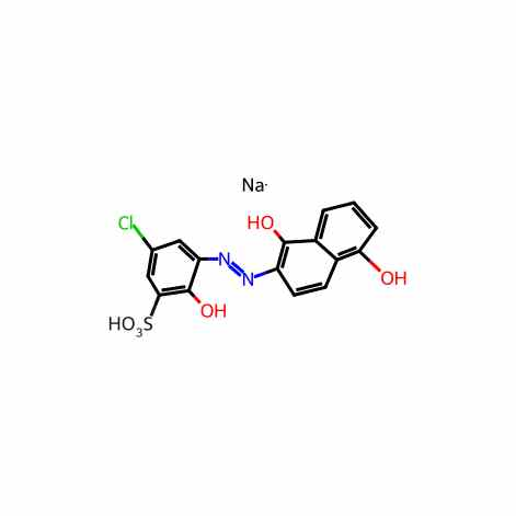 O=S(=O)(O)c1cc(Cl)cc(N=Nc2ccc3c(O)cccc3c2O)c1O.[Na]